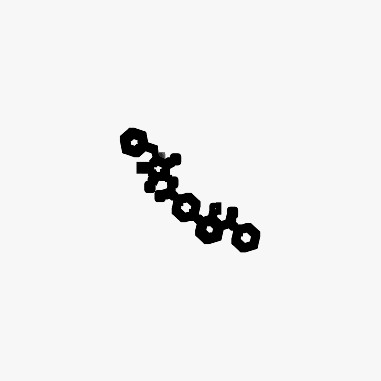 O=C(ON1C(=O)N[C@@H](Cc2ccccc2)C1=O)N1CCN(c2cccc(C(=O)N3CCCCC3)c2Cl)CC1